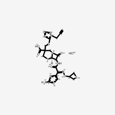 C#CCn1nnnc1SCC1(C(=O)O)CS[C@@H]2C(NC(=O)C(=NOC3CSC3)c3csc(N)n3)C(=O)N2C1.Cl